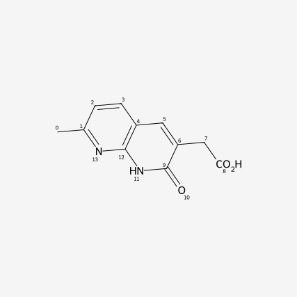 Cc1ccc2cc(CC(=O)O)c(=O)[nH]c2n1